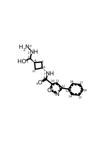 NNC(O)[C@H]1C[C@H](NC(=O)c2cc(-c3ccccc3)no2)C1